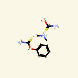 CNC.NC(=S)Oc1ccccc1.NC(O)=S